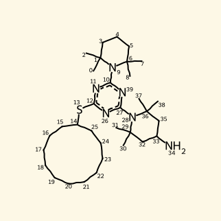 CC1(C)CCCC(C)(C)N1c1nc(SC2CCCCCCCCCCC2)nc(N2C(C)(C)CC(N)CC2(C)C)n1